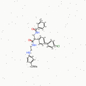 COc1ccc(NCCNC(=O)C(CNC(=O)c2cccc(C)c2)c2ccc(-c3ccc(Cl)cc3)cc2)cc1